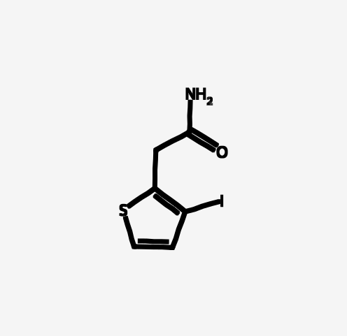 NC(=O)Cc1sccc1I